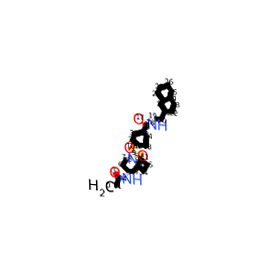 C=CC(=O)NC1CCN(S(=O)(=O)c2ccc(C(=O)NCCc3ccc4ccccc4c3)cc2)C2(CCC2)C1